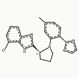 Cc1c[c]c(-n2nccn2)c(N2CCC[C@H]2c2nc3cccc(Cl)c3[nH]2)c1